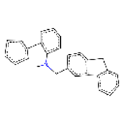 CN(Cc1ccc2c(c1)-c1ccccc1C2)c1ccccc1-c1ccccc1